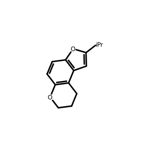 CC(C)c1cc2c3c(ccc2o1)OCCC3